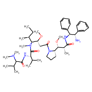 CC[C@H](C)[C@@H]([C@@H](CC(=O)N1CCC[C@H]1[C@H](OC)[C@@H](C)C(=O)N[C@@H](c1ccccc1)[C@@H](N)c1ccccc1)OC)N(C)C(=O)[C@@H](NC(=O)C(C(C)C)N(C)C)C(C)C